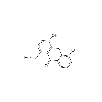 O=C1c2cccc(O)c2Cc2c(O)ccc(CO)c21